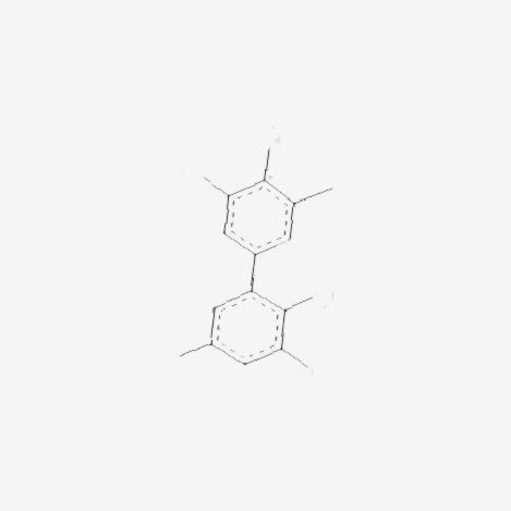 Cc1cc(-c2cc(C)c(O)c(C(C)(C)C)c2)c(O)c(C(C)(C)C)c1